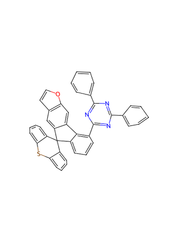 c1ccc(-c2nc(-c3ccccc3)nc(-c3cccc4c3-c3cc5occc5cc3C43c4ccccc4Sc4ccccc43)n2)cc1